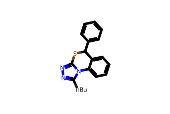 CCCCc1nnc2n1-c1ccccc1C(c1ccccc1)S2